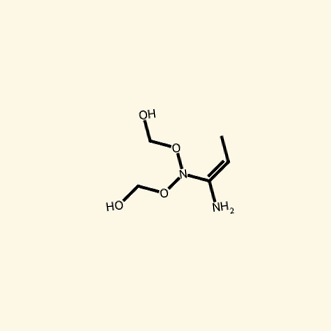 CC=C(N)N(OCO)OCO